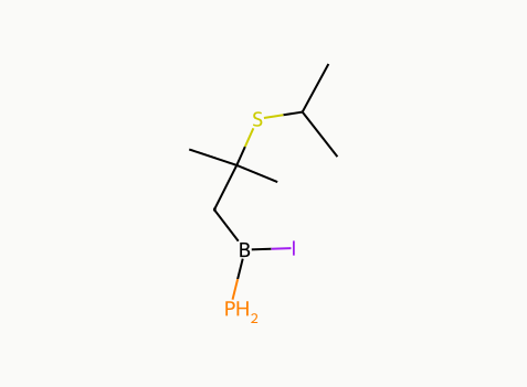 CC(C)SC(C)(C)CB(P)I